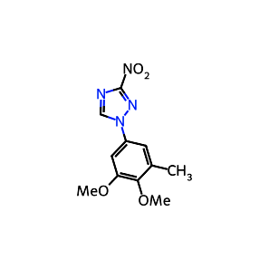 COc1cc(-n2cnc([N+](=O)[O-])n2)cc(C)c1OC